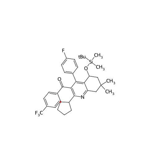 CC1(C)Cc2nc(C3CCCC3)c(C(=O)c3ccc(C(F)(F)F)cc3)c(-c3ccc(F)cc3)c2C(O[Si](C)(C)C(C)(C)C)C1